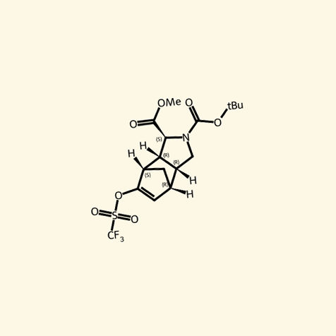 COC(=O)[C@@H]1[C@@H]2[C@H](CN1C(=O)OC(C)(C)C)[C@@H]1C=C(OS(=O)(=O)C(F)(F)F)[C@H]2C1